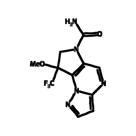 COC1(C(F)(F)F)CN(C(N)=O)c2cnc3ccnn3c21